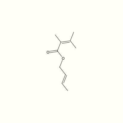 CC=CCOC(=O)C(C)=C(C)C